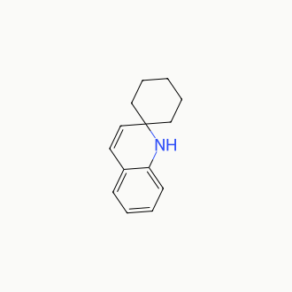 C1=CC2(CCCCC2)Nc2ccccc21